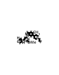 COc1nc(N2C[C@H]3C[C@@H]2CO3)cc(-n2ncc3cc(C)c(C4CCN(CCF)CC4)cc32)n1